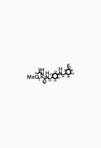 C=C(C)N[C@H](COC)C(=O)NCc1ccc(NCc2cccc(F)c2)cc1